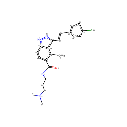 COc1c(C(=O)NCCCN(C)C)ccc2[nH]nc(/C=C/c3ccc(F)cc3)c12